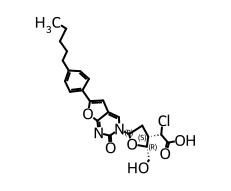 CCCCCc1ccc(-c2cc3cn([C@H]4C[C@H](C(Cl)C(=O)O)[C@H](CO)O4)c(=O)nc3o2)cc1